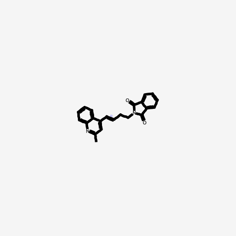 Cc1cc(/C=C/CCN2C(=O)c3ccccc3C2=O)c2ccccc2n1